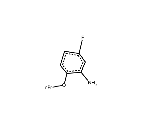 CCCOc1ccc(F)cc1N